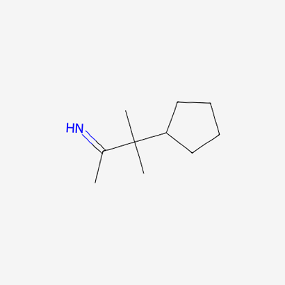 CC(=N)C(C)(C)C1CCCC1